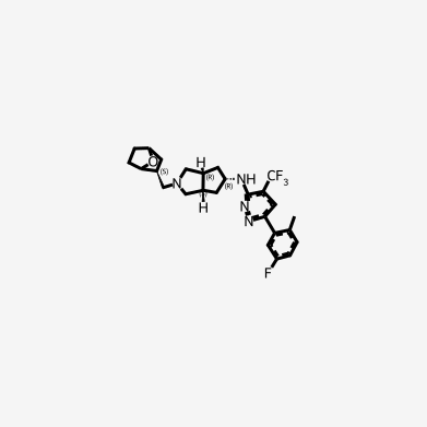 Cc1ccc(F)cc1-c1cc(C(F)(F)F)c(N[C@@H]2C[C@@H]3CN(C[C@@H]4CC5CCC4O5)C[C@@H]3C2)nn1